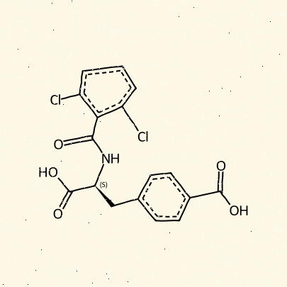 O=C(O)c1ccc(C[C@H](NC(=O)c2c(Cl)cccc2Cl)C(=O)O)cc1